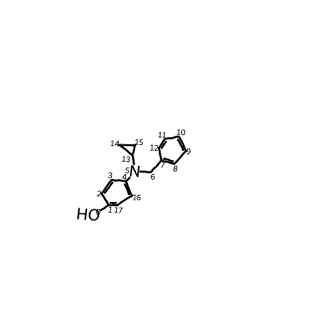 Oc1ccc(N(Cc2ccccc2)C2CC2)cc1